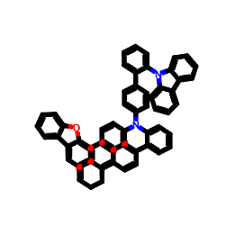 C1=Cc2ccc3cc(-c4ccccc4N(c4ccc(-c5ccccc5-n5c6ccccc6c6ccccc65)cc4)c4ccc(-c5cccc6c5oc5ccccc56)cc4)ccc3c2CC1